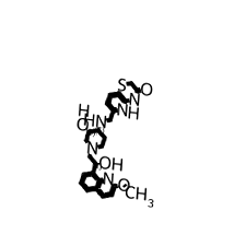 COc1ccc2cccc([C@@H](O)CN3CC[C@H](NCc4ccc5c(n4)NC(=O)CS5)[C@@H](O)C3)c2n1